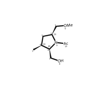 COC[C@@H]1C[C@H](C)[C@H](CO)N1C(C)=O